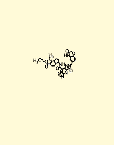 C=CCOC(=O)c1ccc2c(c1C)CC[C@@H]2NC(=O)c1cc(C(=O)NCc2ccc3c(c2)NC(=O)CO3)nc2ncnn12